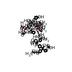 CC(=O)O.CC/C(=C(\c1ccccc1)c1ccc(OCCN(C)C)cc1)c1ccccc1.CCC1(c2ccc(N)cc2)CCC(=O)NC1=O.CCNC(=O)[C@@H]1CCCN1C(=O)[C@H](CCCNC(=N)N)NC(=O)[C@H](CC(C)C)NC(=O)[C@@H](CC(C)C)NC(=O)[C@H](Cc1ccc(O)cc1)NC(=O)[C@H](CO)NC(=O)[C@H](Cc1c[nH]c2ccccc12)NC(=O)[C@H](Cc1cnc[nH]1)NC(=O)[C@@H]1CCC(=O)N1